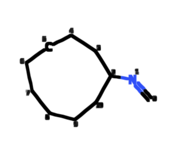 C=NC1CCCCCCCC1